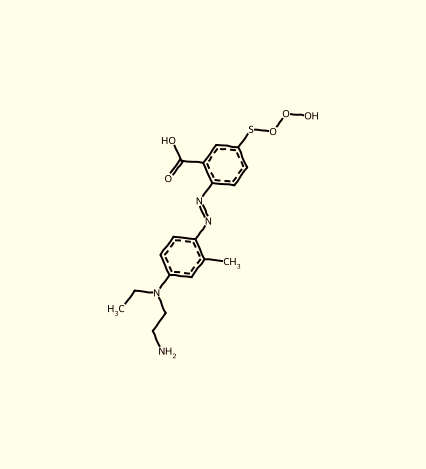 CCN(CCN)c1ccc(N=Nc2ccc(SOOO)cc2C(=O)O)c(C)c1